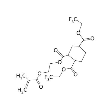 C=C(C)C(=O)OCCOC(=O)C1CC(C(=O)OCC(F)(F)F)CCC1C(=O)OCC(F)(F)F